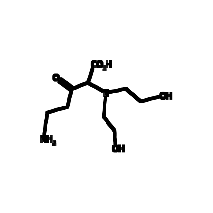 NCCC(=O)C(C(=O)O)N(CCO)CCO